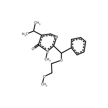 COCCOC(c1ccccc1)c1ncc(C(C)C)c(=O)n1C